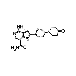 NC(=O)c1cnc(N)c2cc(-c3ccc(N4CCC(=O)CC4)cc3)sc12